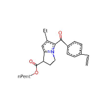 C=Cc1ccc(C(=O)c2c(CC)cc3n2CCC3C(=O)OCCCCC)cc1